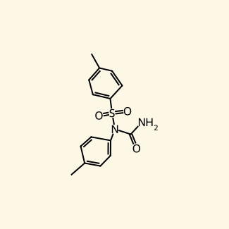 Cc1ccc(N(C(N)=O)S(=O)(=O)c2ccc(C)cc2)cc1